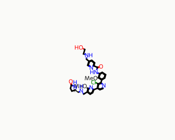 COc1nc(-c2ccnc(-c3cccc(NC(=O)c4ccc(CNCCO)cn4)c3OC)c2Cl)ccc1CNC[C@H]1CCC(=O)N1